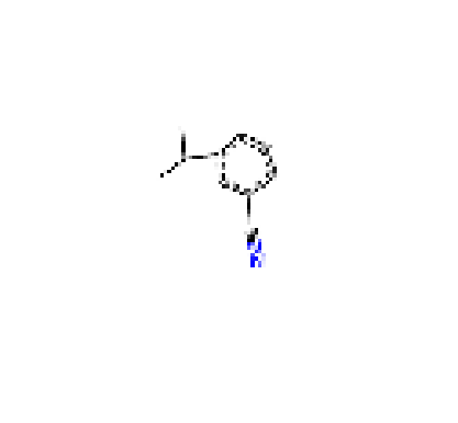 CC(C)c1c[c]cc(C#N)c1